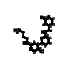 NCCCNc1cc(-c2cccc(NCc3cccc(F)c3)n2)c(Cl)cn1